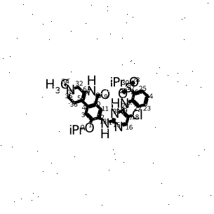 CC(C)Oc1cc2c3c([nH]c(=O)c2cc1Nc1ncc(Cl)c(Nc2ccccc2S(=O)(=O)C(C)C)n1)CN(C)CC3